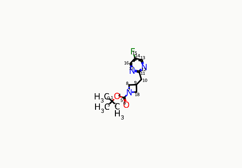 CC(C)(C)OC(=O)N1CC(Cc2ncc(F)cn2)C1